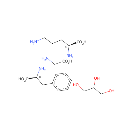 NCC(=O)O.NCCC[C@H](N)C(=O)O.N[C@@H](Cc1ccccc1)C(=O)O.OCC(O)CO